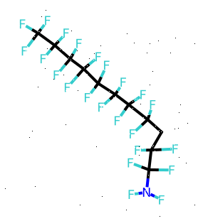 FN(F)C(F)(F)C(F)(F)CC(F)(F)C(F)(F)C(F)(F)C(F)(F)C(F)(F)C(F)(F)C(F)(F)C(F)(F)F